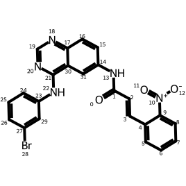 O=C(C=Cc1ccccc1[N+](=O)[O-])Nc1ccc2ncnc(Nc3cccc(Br)c3)c2c1